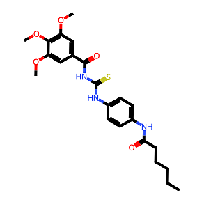 CCCCCC(=O)Nc1ccc(NC(=S)NC(=O)c2cc(OC)c(OC)c(OC)c2)cc1